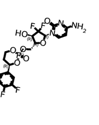 Nc1ccn([C@@H]2O[C@H](CO[P@]3(=O)OCC[C@H](c4ccc(F)c(F)c4)O3)[C@@H](O)C2(F)F)c(=O)n1